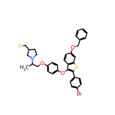 CC(COc1ccc(Oc2c(-c3ccc(Br)cc3)sc3cc(OCc4ccccc4)ccc23)cc1)N1CCC(CF)C1